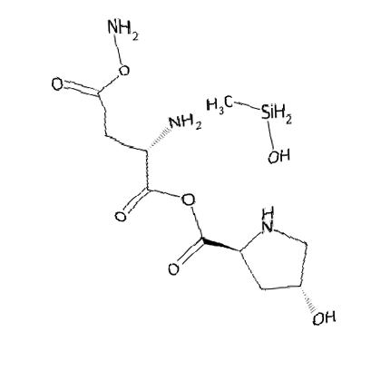 C[SiH2]O.NOC(=O)C[C@H](N)C(=O)OC(=O)[C@@H]1C[C@@H](O)CN1